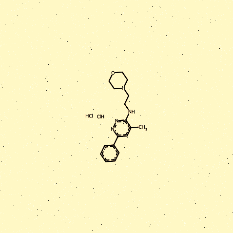 Cc1cc(-c2ccccc2)nnc1NCCN1CCOCC1.Cl.Cl